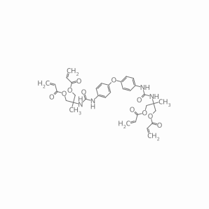 C=CC(=O)OCC(C)(COC(=O)C=C)NC(=O)Nc1ccc(Oc2ccc(NC(=O)NC(C)(COC(=O)C=C)COC(=O)C=C)cc2)cc1